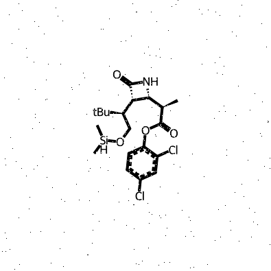 C[C@@H](C(=O)Oc1ccc(Cl)cc1Cl)[C@H]1NC(=O)[C@H]1[C@@H](CO[SiH](C)C)C(C)(C)C